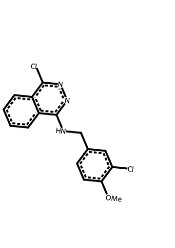 COc1ccc(CNc2nnc(Cl)c3ccccc23)cc1Cl